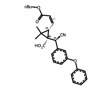 CCCCOC(=O)/C=C\[C@H]1C(C)(C)[C@]1(C(=O)O)[C@@H](C#N)c1cccc(Oc2ccccc2)c1